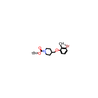 Cc1c(Br)cccc1OCC1CCN(C(=O)OC(C)(C)C)CC1